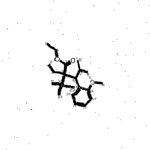 CCOC(=O)C(CC)(C(c1ccccc1OC)C(C)C)C(C)(C)C